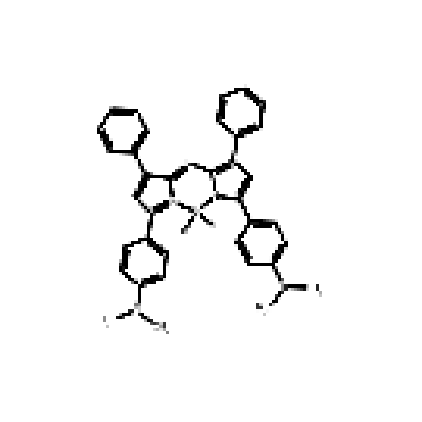 CN(C)c1ccc(C2=[N+]3C(=Nc4c(-c5ccccc5)cc(-c5ccc(N(C)C)cc5)n4[B-]3(F)F)C(c3ccccc3)=C2)cc1